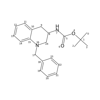 CC(C)(C)OC(=O)NC1Cc2ccccc2N(Cc2ccccc2)C1